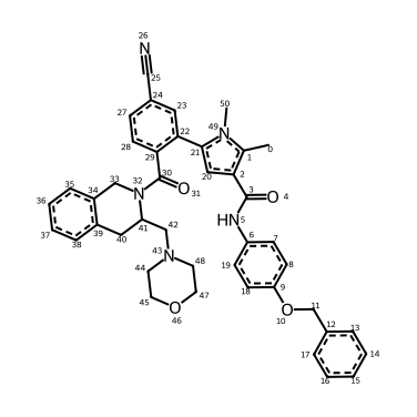 Cc1c(C(=O)Nc2ccc(OCc3ccccc3)cc2)cc(-c2cc(C#N)ccc2C(=O)N2Cc3ccccc3CC2CN2CCOCC2)n1C